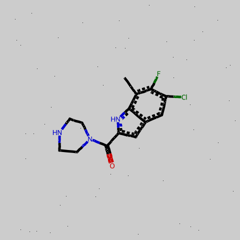 Cc1c(F)c(Cl)cc2cc(C(=O)N3CCNCC3)[nH]c12